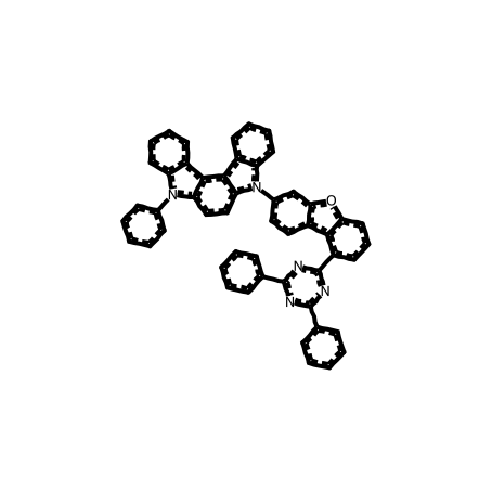 c1ccc(-c2nc(-c3ccccc3)nc(-c3cccc4oc5cc(-n6c7ccccc7c7c8c9ccccc9n(-c9ccccc9)c8ccc76)ccc5c34)n2)cc1